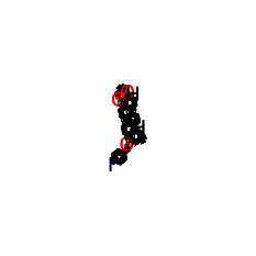 CC1(C)C[C@@H](OCc2ccc(I)cc2)[C@]2(C)CC[C@]3(C)C(=CCC4[C@@]5(C)CC[C@@H]6OC(C)(C)CO[C@]6(C)C5CC[C@]43C)[C@@H]2C1